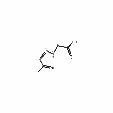 CC(=N)/N=N\NCC(=O)O